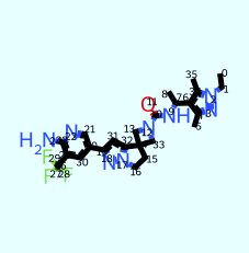 CCn1nc(C)c(C(C)NC(=O)N2CC3(CCn4nc(-c5cnc(N)c(C(F)(F)F)c5)cc43)C2)c1C